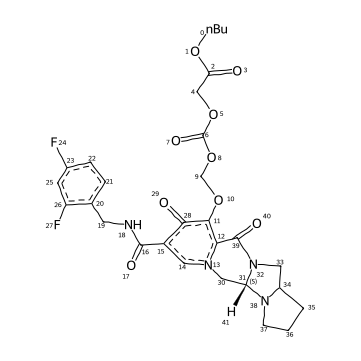 CCCCOC(=O)COC(=O)OCOc1c2n(cc(C(=O)NCc3ccc(F)cc3F)c1=O)C[C@@H]1N(CC3CCCN31)C2=O